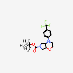 CC(C)(C)OC(=O)N1CC2OCCN(c3ccc(C(F)(F)F)cc3)C2C1